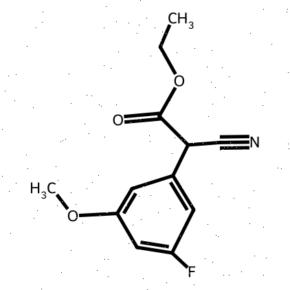 CCOC(=O)C(C#N)c1cc(F)cc(OC)c1